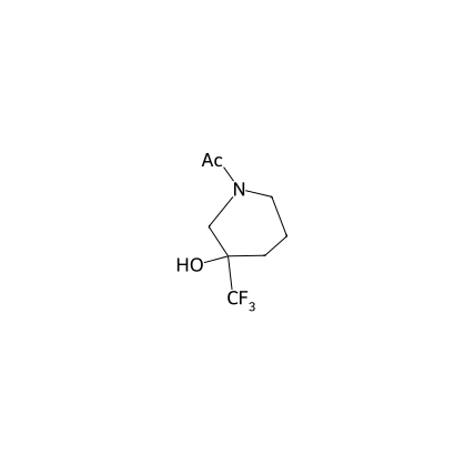 CC(=O)N1CCCC(O)(C(F)(F)F)C1